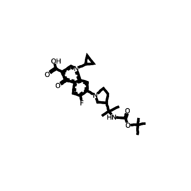 CC(C)(C)OC(=O)NC(C)(C)C1CCN(c2cc3c(cc2F)c(=O)c(C(=O)O)cn3C2CC2)C1